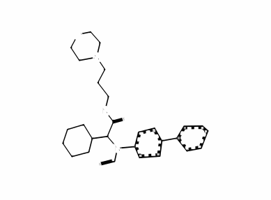 O=CN(c1ccc(-c2ccccc2)cc1)C(C(=O)NCCCN1CCOCC1)C1CCCCC1